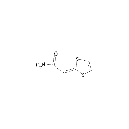 NC(=O)C=C1SC=CS1